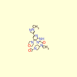 CN(C(=O)c1nc2c(N3CCOCC3)cc(-c3cnn(C)c3)nc2[nH]1)C1CCN(C2COC2)CC1